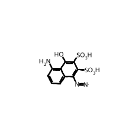 [N]=Nc1c(S(=O)(=O)O)c(S(=O)(=O)O)c(O)c2c(N)cccc12